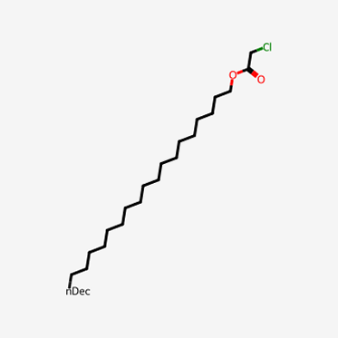 CCCCCCCCCCCCCCCCCCCCCCCCCCCCOC(=O)CCl